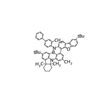 Cc1cc2c3c(c1)N1c4c(cc(C(C)(C)C)cc4C4(C)CCCCC14C)B3N(c1ccc(-c3ccccc3)cc1C)c1ccc3c(oc4ccc(C(C)(C)C)cc43)c1-2